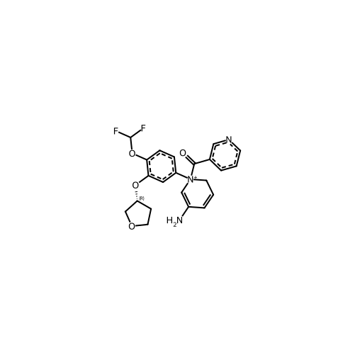 NC1=C[N+](C(=O)c2cccnc2)(c2ccc(OC(F)F)c(O[C@@H]3CCOC3)c2)CC=C1